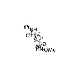 CONS(=O)(=O)c1ccc(C(=O)NC(C)C)s1